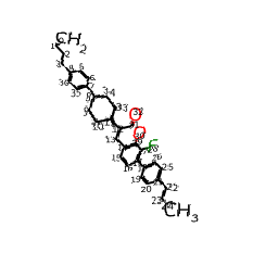 C=CCCc1ccc(C2CCC(C3Cc4ccc(-c5ccc(CCC)cc5)c(F)c4OC3=O)CC2)cc1